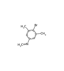 C=Nc1cc(C)c(Br)c(C)c1